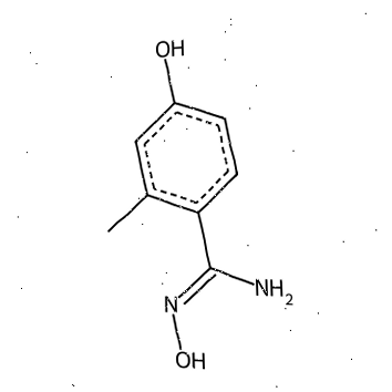 Cc1cc(O)ccc1C(N)=NO